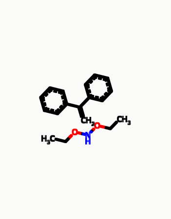 C=C(c1ccccc1)c1ccccc1.CCONOCC